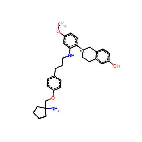 COc1ccc([C@@H]2CCc3cc(O)ccc3C2)c(NCCCc2ccc(OCC3(N)CCCC3)cc2)c1